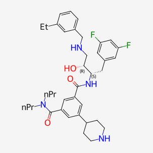 CCCN(CCC)C(=O)c1cc(C(=O)N[C@@H](Cc2cc(F)cc(F)c2)[C@H](O)CNCc2cccc(CC)c2)cc(C2CCNCC2)c1